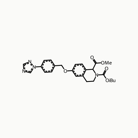 COC(=O)C1c2ccc(OCc3ccc(-n4cncn4)cc3)cc2CCN1C(=O)OCC(C)C